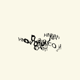 N=C(N)NCCC[C@H](NC(=O)c1sccc1NS(=O)(=O)c1cc(-c2ccccc2CN2CCNCC2)cc2c1OCC2)C(=O)O